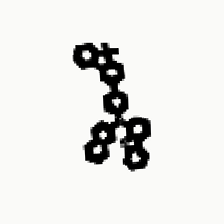 CC1(C)c2ccccc2-c2cc(-c3ccc(N(c4ccc5ccccc5c4)c4cccc5c4sc4ccccc45)cc3)ccc21